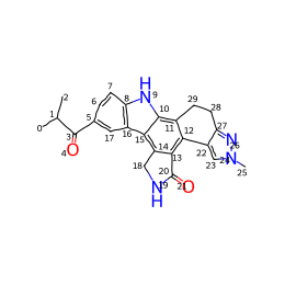 CC(C)C(=O)c1ccc2[nH]c3c4c(c5c(c3c2c1)CNC5=O)-c1cn(C)nc1CC4